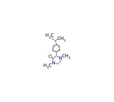 CCC(C)c1ccc(C2C(=O)N(C)CCN2C)cc1